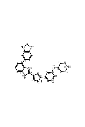 c1cc(-c2ccc3c(c2)OCO3)c2nc(-c3cc(-c4cncc(OC5CCNCC5)c4)[nH]n3)[nH]c2c1